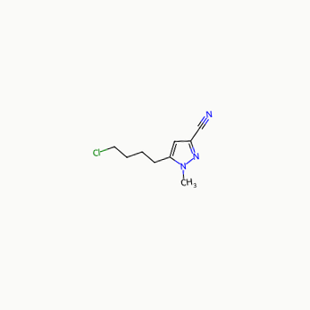 Cn1nc(C#N)cc1CCCCCl